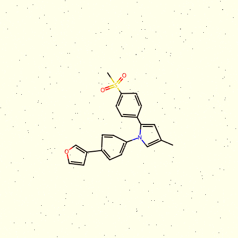 Cc1cc(-c2ccc(S(C)(=O)=O)cc2)n(-c2ccc(-c3ccoc3)cc2)c1